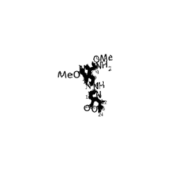 COC[C@@](C)(N)c1cnc(OC)c2cnc(Nc3ccc4c(n3)[C@@H](C)C(C)(C)OC4=O)cc12